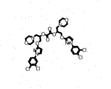 O=C(OC(COc1ccn(-c2ccc(Cl)c(Cl)c2)n1)CN1CCOCC1)C(=O)OC(COc1ccn(-c2ccc(Cl)c(Cl)c2)n1)CN1CCOCC1